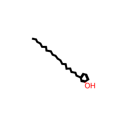 CCCCCCCCCCCCCCCCCCCc1cccc(O)c1